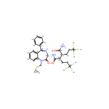 CSCN1C(=O)[C@@H](NC(=O)[C@H](CCC(F)(F)F)[C@H](CCC(F)(F)F)C(N)=O)N=C(c2ccccc2)c2ccccc21